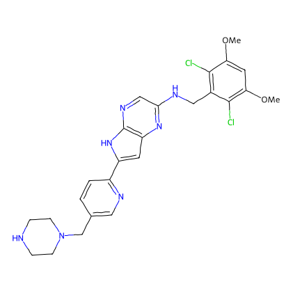 COc1cc(OC)c(Cl)c(CNc2cnc3[nH]c(-c4ccc(CN5CCNCC5)cn4)cc3n2)c1Cl